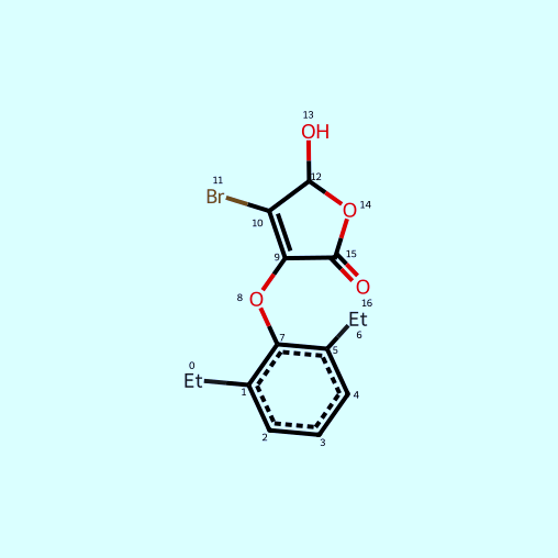 CCc1cccc(CC)c1OC1=C(Br)C(O)OC1=O